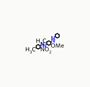 COc1cc(/N=N/c2ccc(C)cc2[N+](=O)[O-])c(C)cc1/N=N/c1ccccc1